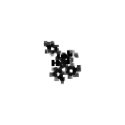 O=C(OC1(CCc2ccc(F)cc2)NC(c2cccc(F)c2)C(c2cccc(F)c2)N1)C(F)(F)F